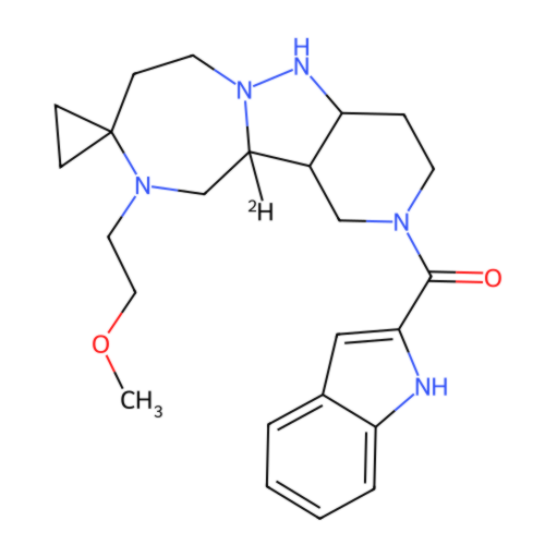 [2H]C12CN(CCOC)C3(CCN1NC1CCN(C(=O)c4cc5ccccc5[nH]4)CC12)CC3